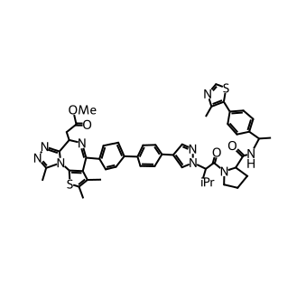 COC(=O)CC1N=C(c2ccc(-c3ccc(-c4cnn(C(C(=O)N5CCCC5C(=O)NC(C)c5ccc(-c6scnc6C)cc5)C(C)C)c4)cc3)cc2)c2c(sc(C)c2C)-n2c(C)nnc21